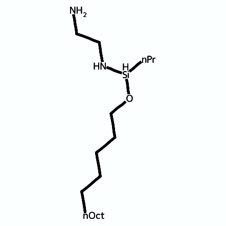 CCCCCCCCCCCCCO[SiH](CCC)NCCN